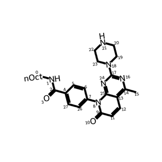 CCCCCCCCNC(=O)c1ccc(-n2c(=O)ccc3c(C)nc(N4CCNCC4)nc32)cc1